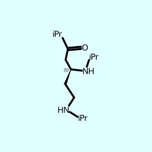 CC(C)NCC[C@@H](CC(=O)C(C)C)NC(C)C